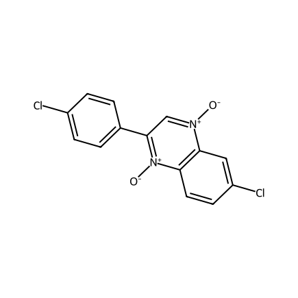 [O-][n+]1cc(-c2ccc(Cl)cc2)[n+]([O-])c2ccc(Cl)cc21